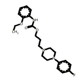 CCOc1ccccc1NC(=O)OCCCN1CCN(c2ccc(F)cc2)CC1